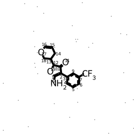 NC1=C(c2cccc(C(F)(F)F)c2)C(=O)C(C2CC=COC2)O1